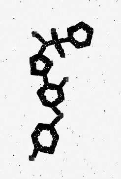 O=S(=O)(c1ccccc1)N(Cl)c1nc(-c2ccc(Oc3ccc(Cl)cc3)cc2Cl)cs1